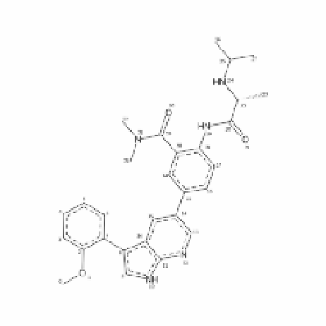 COc1ccccc1-c1c[nH]c2ncc(-c3ccc(NC(=O)[C@@H](C)NC(C)C)c(C(=O)N(C)C)c3)cc12